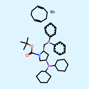 C1=CCCC=CCC1.CC(C)(C)OC(=O)N1C[C@H](P(C2CCCCC2)C2CCCCC2)C[C@@H]1CP(c1ccccc1)c1ccccc1.[Rh]